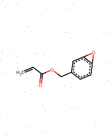 C=CC(=O)OCc1ccc2c(c1)O2